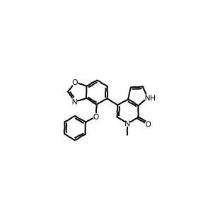 Cn1cc(-c2ccc3ocnc3c2Oc2ccccc2)c2cc[nH]c2c1=O